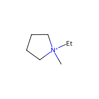 [CH2]C[N+]1(C)CCCC1